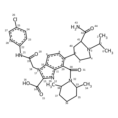 CC(C)N1CCC(c2ccc3c(nc(C(=O)O)n3CC(=O)Nc3ccc(Cl)cn3)c2C(=O)N2C(C)CCCC2C)CC1C(N)=O